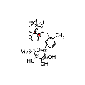 CS[C@H]1O[C@@H](c2ccc(C)c(Cc3ccc([C@@]45CCC6(C[C@@H]4C5)OCCO6)s3)c2)[C@H](O)[C@@H](O)[C@@H]1O